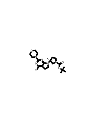 CC(C)(C)OC(=O)N1CC[C@](C)(N2CCc3c(Cl)nc(N4CCOCC4)nc32)C1